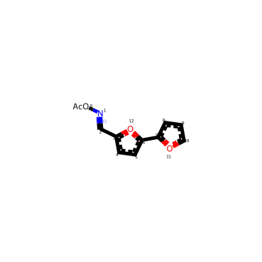 CC(=O)O/N=C/c1ccc(-c2ccco2)o1